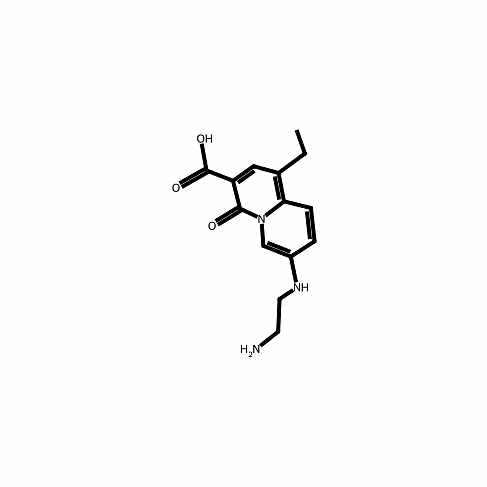 CCc1cc(C(=O)O)c(=O)n2cc(NCCN)ccc12